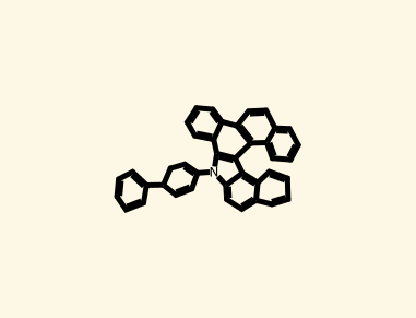 C1=CC(c2ccccc2)CC=C1n1c2ccc3ccccc3c2c2c3c4ccccc4ccc3c3ccccc3c21